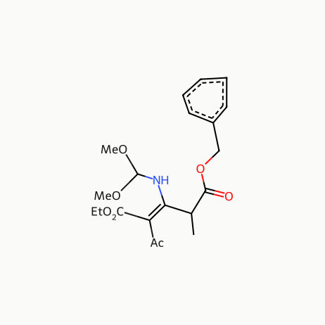 CCOC(=O)C(C(C)=O)=C(NC(OC)OC)C(C)C(=O)OCc1ccccc1